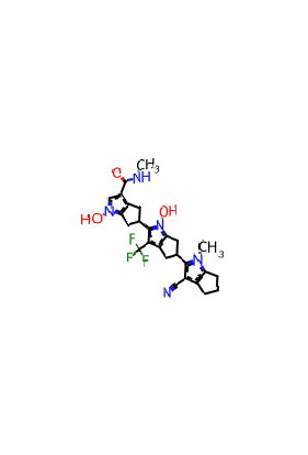 CNC(=O)c1cn(O)c2c1CC(c1c(C(F)(F)F)c3c(n1O)CC(c1c(C#N)c4c(n1C)CCC4)C3)C2